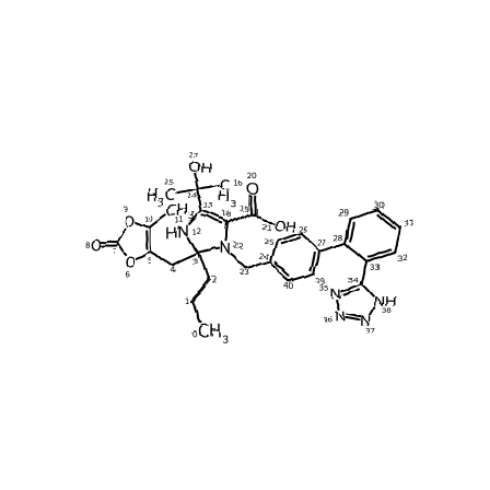 CCCC1(Cc2oc(=O)oc2C)NC(C(C)(C)O)=C(C(=O)O)N1Cc1ccc(-c2ccccc2-c2nnn[nH]2)cc1